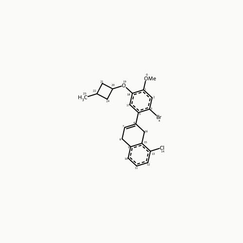 COc1cc(Br)c(C2=CCc3cccc(Cl)c3C2)cc1OC1CC(C)C1